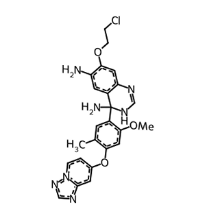 COc1cc(Oc2ccn3ncnc3c2)c(C)cc1C1(N)NC=Nc2cc(OCCCl)c(N)cc21